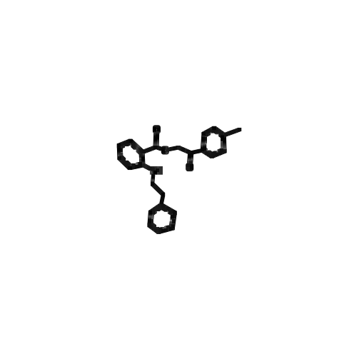 Cc1ccc(C(=O)COC(=O)c2ccccc2NCCc2ccccc2)cc1